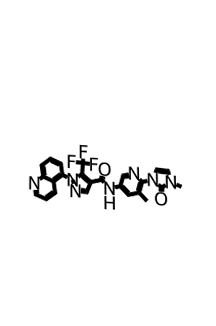 Cc1cc(NC(=O)c2cnn(-c3cccc4ncccc34)c2C(F)(F)F)cnc1-n1ccn(C)c1=O